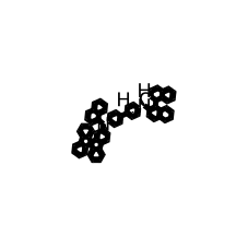 CC1C=Cc2ccccc2C1c1c(Nc2ccc(-c3ccc(N(c4ccc5c(c4)C4(c6ccccc6-c6ccccc64)c4ccccc4-5)c4cccc5ccccc45)cc3)cc2)ccc2c1C=CCC2